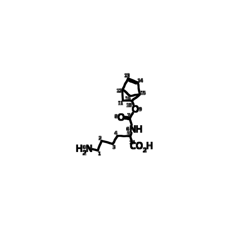 NCCCCC(NC(=O)OC1CC2C=CC1C2)C(=O)O